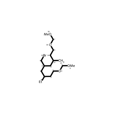 CCC(CCOCOC)CC(CBr)CC(C)CCOCOC